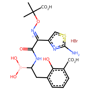 Br.CC(C)(O/N=C(/C(=O)NC(Cc1cccc(C(=O)O)c1O)B(O)O)c1csc(N)n1)C(=O)O